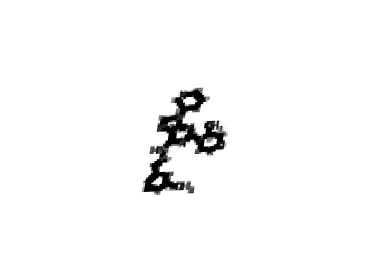 Cc1cccc(C=NNc2nc(N3CCOCC3C)nc3c2ncn3-c2cccnc2)c1